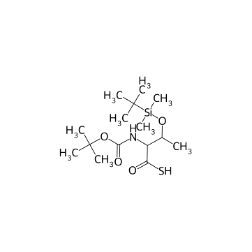 CC(O[Si](C)(C)C(C)(C)C)C(NC(=O)OC(C)(C)C)C(=O)S